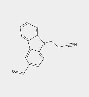 N#CCCn1c2ccccc2c2cc(C=O)ccc21